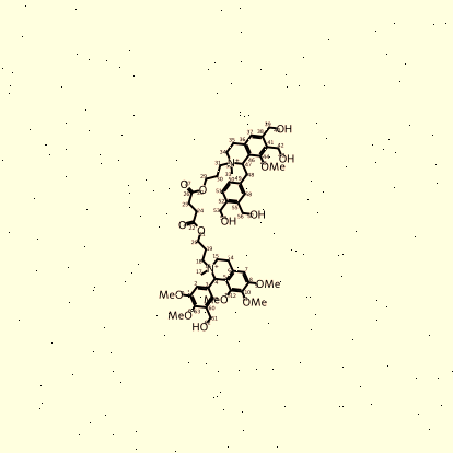 COc1cc(C2c3c(cc(OC)c(OC)c3OC)CC[N+]2(C)CCCOC(=O)CCC(=O)OCCC[N+]2(C)CCc3cc(CO)c(CO)c(OC)c3C2Cc2ccc(CO)c(CO)c2)cc(CO)c1OC